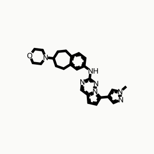 Cn1cc(-c2ccc3cnc(Nc4ccc5c(c4)CCC(N4CCOCC4)CC5)nn23)cn1